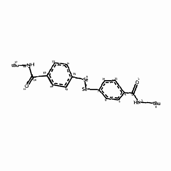 CC(C)(C)NC(=O)c1ccc([Se][Se]c2ccc(C(=O)NC(C)(C)C)cc2)cc1